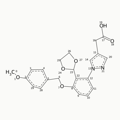 COc1ccc(COc2cccc(-n3cc(CC(=O)O)cn3)c2C2OCCO2)cc1